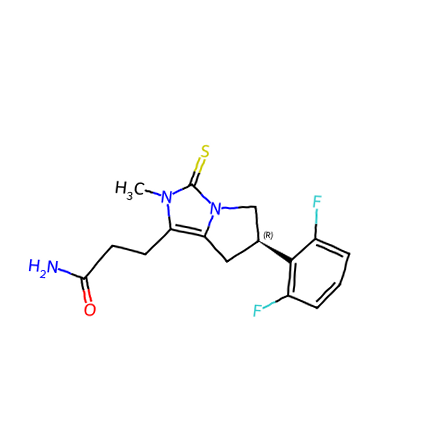 Cn1c(CCC(N)=O)c2n(c1=S)C[C@@H](c1c(F)cccc1F)C2